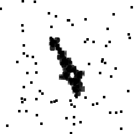 CC1CC(=O)N(CCCCCC(=O)Nc2ncnc3c2ncn3[C@@H]2O[C@@H]3COP(=O)(S)O[C@H]4[C@@H](F)[C@H](n5ccc(=O)[nH]c5=O)O[C@@H]4COP(=O)(O)O[C@H]3[C@H]2F)C1=O